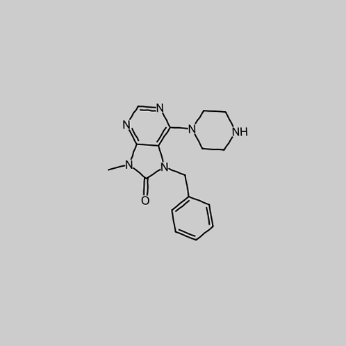 Cn1c(=O)n(Cc2ccccc2)c2c(N3CCNCC3)ncnc21